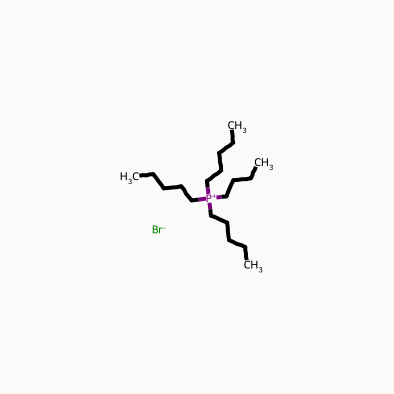 CCCCC[P+](CCCC)(CCCCC)CCCCC.[Br-]